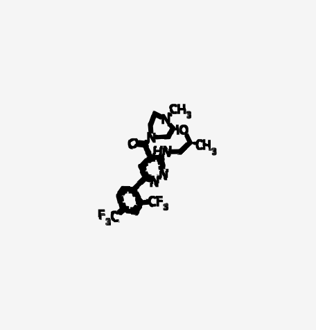 C[C@@H](O)CNc1nnc(-c2ccc(C(F)(F)F)cc2C(F)(F)F)cc1C(=O)N1CCN(C)CC1